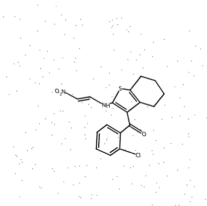 O=C(c1ccccc1Cl)c1c(N/C=C/[N+](=O)[O-])sc2c1CCCC2